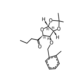 CCCC(=O)[C@H]1O[C@@H]2OC(C)(C)O[C@@H]2[C@H]1OCc1ccccc1C